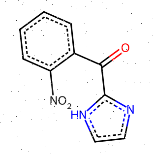 O=C(c1ncc[nH]1)c1ccccc1[N+](=O)[O-]